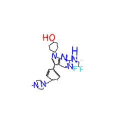 C[C@@H](Nc1ncc2c(-c3ccc(CN4CCN(C)CC4)cc3)cn([C@H]3CC[C@H](O)CC3)c2n1)C(F)F